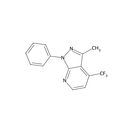 Cc1nn(-c2ccccc2)c2nccc(C(F)(F)F)c12